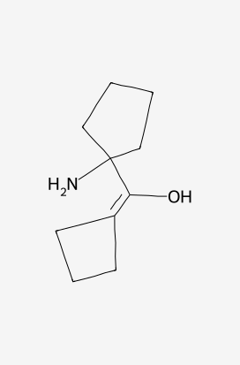 NC1(C(O)=C2CCC2)CCCC1